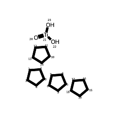 C1CCCC1.C1CCCC1.C1CCCC1.C1CCCC1.[O]=[Ti]([OH])[OH]